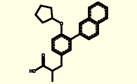 CC(Cc1ccc(OC2CCCC2)c(-c2ccc3ccccc3c2)c1)C(=O)O